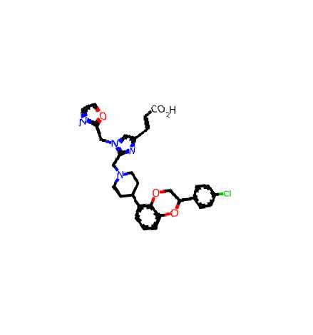 O=C(O)/C=C/c1cn(Cc2ncco2)c(CN2CCC(c3cccc4c3OCC(c3ccc(Cl)cc3)O4)CC2)n1